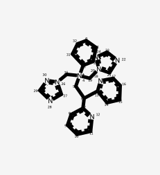 c1ccc([N+](CC(c2ccccn2)c2ccccn2)(Cn2cncn2)Cn2cncn2)cc1